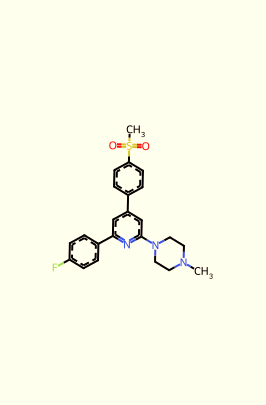 CN1CCN(c2cc(-c3ccc(S(C)(=O)=O)cc3)cc(-c3ccc(F)cc3)n2)CC1